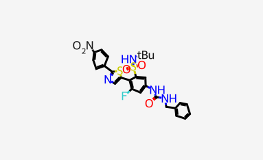 CC(C)(C)NS(=O)(=O)c1cc(NC(=O)NCc2ccccc2)cc(F)c1-c1cnc(-c2ccc([N+](=O)[O-])cc2)s1